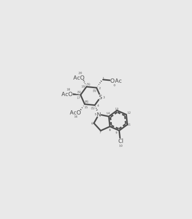 CC(=O)OC[C@@H]1S[C@H](N2CCc3c(Cl)cccc32)[C@H](OC(C)=O)[C@@H](OC(C)=O)[C@@H]1OC(C)=O